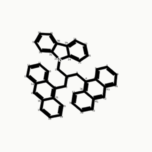 c1ccc2c(CC(Cc3c4ccccc4cc4ccccc34)Cn3c4ccccc4c4ccccc43)c3ccccc3cc2c1